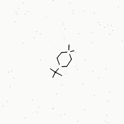 CC(C)(C)N1CCS(C)(C)CC1